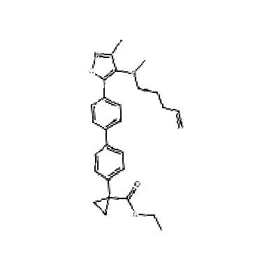 C=CCCCN(C)c1c(C)noc1-c1ccc(-c2ccc(C3(C(=O)OCC)CC3)cc2)cc1